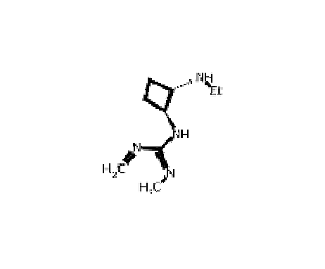 C=N/C(=N\C)N[C@H]1CC[C@@H]1NCC